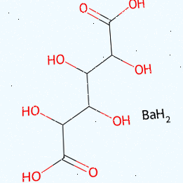 O=C(O)C(O)C(O)C(O)C(O)C(=O)O.[BaH2]